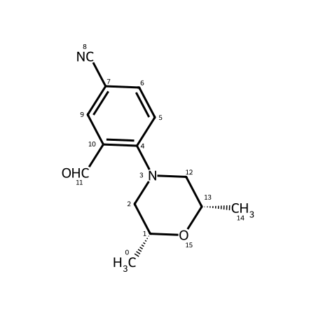 C[C@@H]1CN(c2ccc(C#N)cc2C=O)C[C@H](C)O1